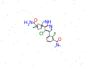 CN(C)C(=O)c1cccc(-c2cnc3c(c2Cl)[C@@]2(CC[C@](C)(C(N)=O)C2)CN3)c1F